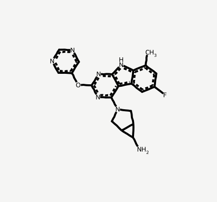 Cc1cc(F)cc2c1[nH]c1nc(Oc3cncnc3)nc(N3CC4C(N)C4C3)c12